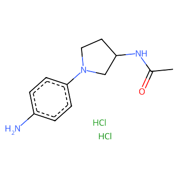 CC(=O)NC1CCN(c2ccc(N)cc2)C1.Cl.Cl